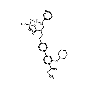 COC(=O)c1ccc(-c2ccc(CCN(C[C@H](O)c3cccnc3)C(=O)OC(C)(C)C)cc2)cc1OC1CCCCC1